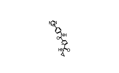 O=C(Nc1ccc(-n2cncn2)cc1)c1ccc(C(=O)NC2CC2)s1